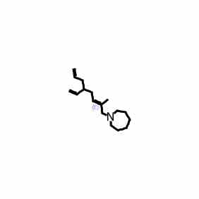 C=CCC(C=C)C/C=C(\C)CN1CCCCCC1